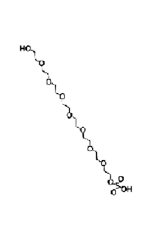 O=S(=O)(O)OCCOCCOCCOCCOCCOCCOCCOCCO